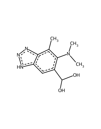 Cc1c(N(C)C)c(C(O)O)cc2[nH]nnc12